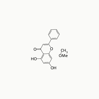 COC.O=c1cc(-c2ccccc2)oc2cc(O)cc(O)c12